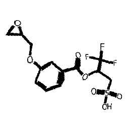 O=C(OC(CS(=O)(=O)O)C(F)(F)F)c1cccc(OCC2CO2)c1